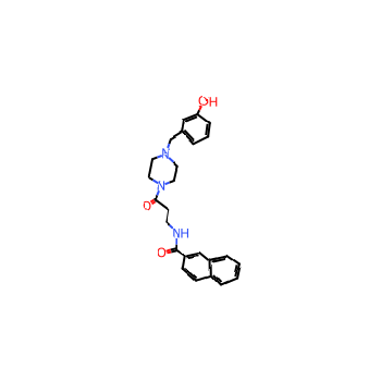 O=C(NCCC(=O)N1CCN(Cc2cccc(O)c2)CC1)c1ccc2ccccc2c1